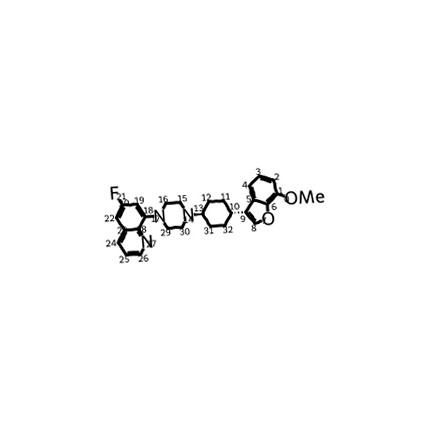 COc1cccc2c1occ2[C@H]1CC[C@H](N2CCN(c3cc(F)cc4cccnc34)CC2)CC1